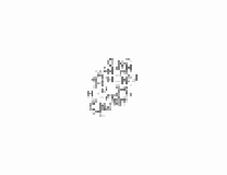 COc1cccc(CNC(=O)c2cc(C(=O)NCc3ccc(NC(=O)CN4CCOCC4)cc3)ncn2)c1